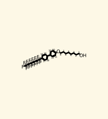 OCCCCCCCCOc1ccc(-c2ccc(C(F)(F)C(F)(F)C(F)(F)C(F)(F)C(F)(F)C(F)(F)F)cc2)cc1